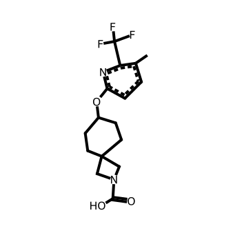 Cc1ccc(OC2CCC3(CC2)CN(C(=O)O)C3)nc1C(F)(F)F